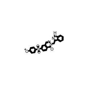 COc1ccc(S(=O)(=O)c2ccc3c(=O)n(Cc4n[nH]c5ccccc45)ncc3c2)cc1